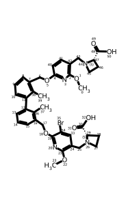 COc1nc(OCc2cccc(-c3cccc(COc4nc(OC)c(CN5CC[C@H]5C(=O)O)cc4Br)c3C)c2C)ccc1CN1CC[C@H]1C(=O)O